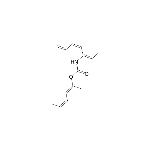 C=C/C=C\C(=C/C)NC(=O)O/C(C)=C/C=C\C